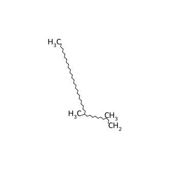 C=CCC(C)CCCCCCCC(CC)CCCCCCCCCCCCCCCCCCCCCCCCCCCC